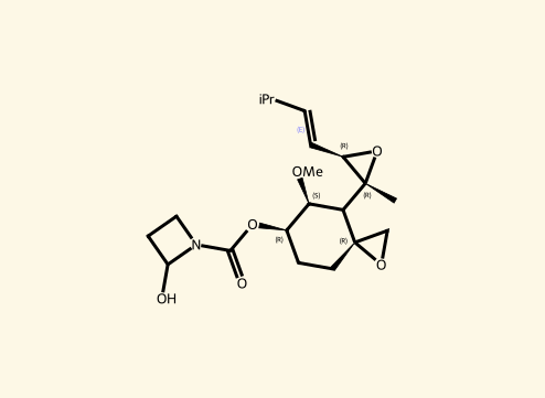 CO[C@H]1C([C@@]2(C)O[C@@H]2/C=C/C(C)C)[C@]2(CC[C@H]1OC(=O)N1CCC1O)CO2